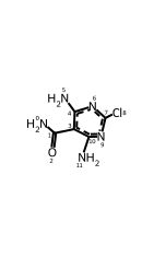 NC(=O)c1c(N)nc(Cl)nc1N